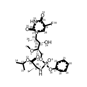 CO[C@H](COP(=O)(N[C@H](C)C(=O)OC(C)C)Oc1ccccc1)[C@@H](O)[C@H](C)n1cc(F)c(=O)[nH]c1=O